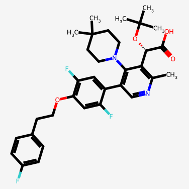 Cc1ncc(-c2cc(F)c(OCCc3ccc(F)cc3)cc2F)c(N2CCC(C)(C)CC2)c1[C@H](OC(C)(C)C)C(=O)O